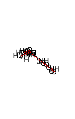 COCC(=O)NCCOCCOCCOCCNC(=O)CCCCCCCNC(=O)CC[C@H](NC(=O)N[C@@H](CCC(=O)O)C(=O)O)C(=O)O